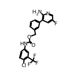 Nc1ncc(F)cc1-c1cccc(COC(=O)Nc2ccc(Cl)c(C(F)(F)F)c2)c1